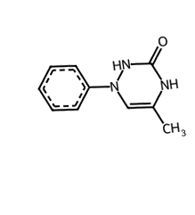 CC1=CN(c2ccccc2)NC(=O)N1